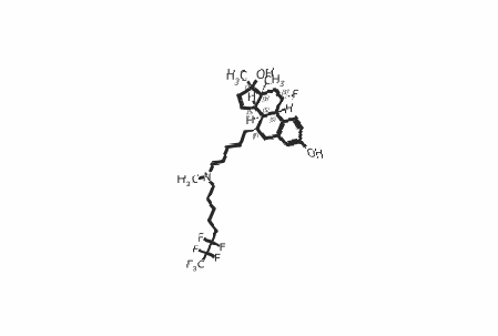 CN(CCCCC[C@@H]1Cc2cc(O)ccc2[C@@H]2[C@@H]1[C@@H]1CC[C@](C)(O)[C@@]1(C)C[C@@H]2F)CCCCCC(F)(F)C(F)(F)C(F)(F)F